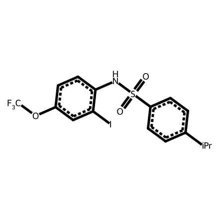 CC(C)c1ccc(S(=O)(=O)Nc2ccc(OC(F)(F)F)cc2I)cc1